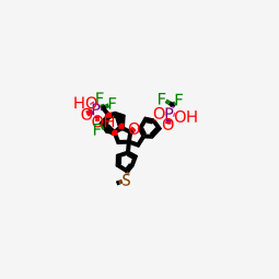 CSc1ccc(C(Cc2ccc(OP(=O)(O)C(F)F)cc2)(Cc2ccc(C(F)(F)P(=O)(O)O)cc2)C(=O)c2cccc(F)c2)cc1